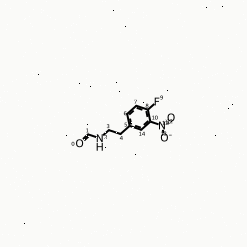 O=CNCCc1ccc(F)c([N+](=O)[O-])c1